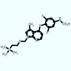 Cc1cn(COCC[Si](C)(C)C)c2nccc(Oc3c(F)cc(NC(=O)O)cc3F)c12